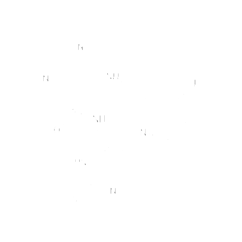 Nc1nccnc1C(=O)Nc1[nH]c(=O)ncc1N1CCC(F)CC1